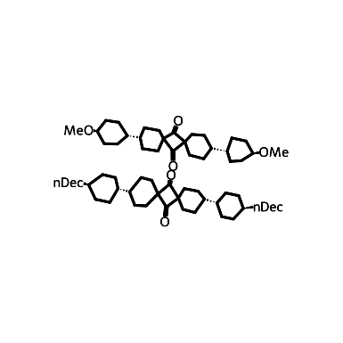 CCCCCCCCCC[C@H]1CC[C@H](C2CCC3(CC2)C(=O)C2(CCC([C@H]4CC[C@H](CCCCCCCCCC)CC4)CC2)C3=O)CC1.CO[C@H]1CC[C@H](C2CCC3(CC2)C(=O)C2(CCC([C@H]4CC[C@H](OC)CC4)CC2)C3=O)CC1